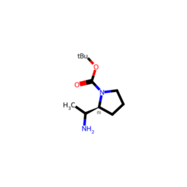 CC(N)[C@@H]1CCCN1C(=O)OC(C)(C)C